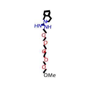 COCCOCCOCCOCCOCCOCCNC(=N)N1CCc2ccccc2C1